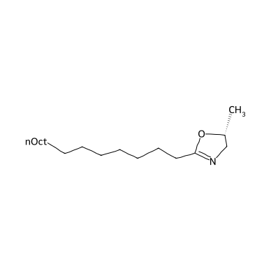 CCCCCCCCCCCCCCCC1=NC[C@@H](C)O1